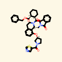 O=C(OCc1ccccc1)[C@H]1CCCC[C@H]1C(=O)N1CCc2cccc(O[C@H]3CCN(C(=O)c4cncs4)C3)c2[C@H]1CN1C(=O)c2ccccc2C1=O